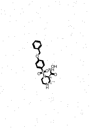 C[C@@H]1NCCN(S(=O)(=O)c2ccc(OCc3ccccc3)cc2)[C@H]1C(=O)NO